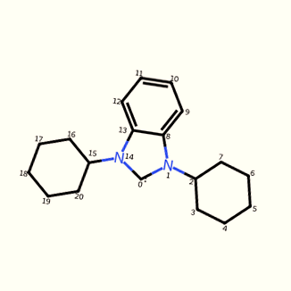 [C]1N(C2CCCCC2)c2ccccc2N1C1CCCCC1